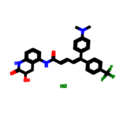 CN(C)c1ccc(C(=CC=CC(=O)Nc2cccc3c2CC(O)C(=O)N3)c2ccc(C(F)(F)F)cc2)cc1.Cl